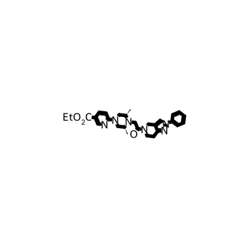 CCOC(=O)c1ccc(N2C[C@@H](C)N(CC(=O)N3CCc4nn(-c5ccccc5)cc4C3)[C@@H](C)C2)nc1